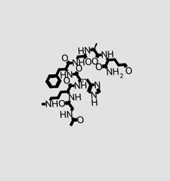 CNCCCC(NC(=O)CNC(C)=O)C(=O)N[C@@H](Cc1c[nH]cn1)C(=O)NC(Cc1ccccc1)C(=O)NCC(=O)N[C@@H](C)C(=O)NC(CCC=O)C(N)=O